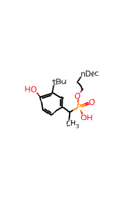 CCCCCCCCCCCCOP(=O)(O)C(C)c1ccc(O)c(C(C)(C)C)c1